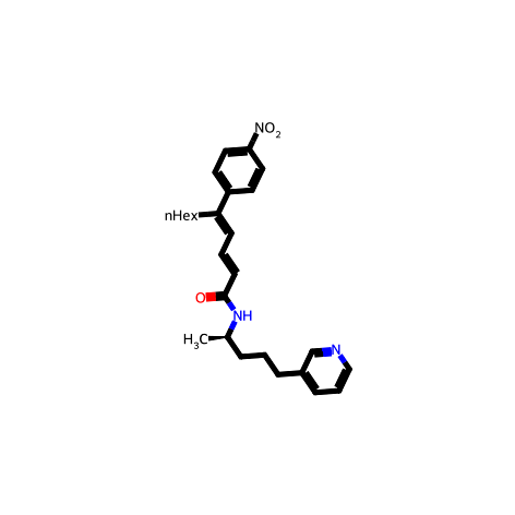 CCCCCC/C(=C\C=C\C(=O)N[C@H](C)CCCc1cccnc1)c1ccc([N+](=O)[O-])cc1